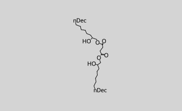 CCCCCCCCCCCCCCCCC(O)COC(=O)CCC(=O)OCC(O)CCCCCCCCCCCCCCCC